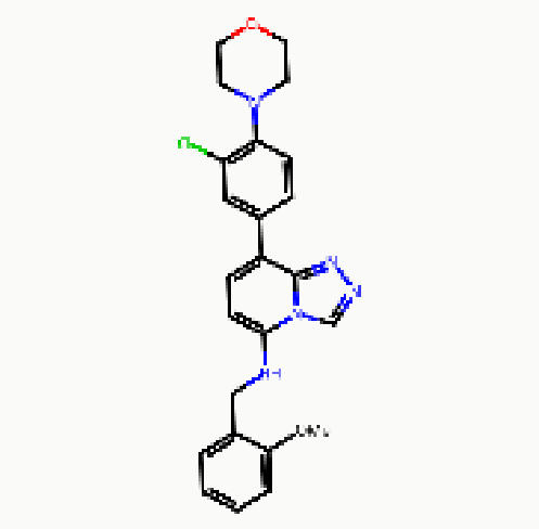 COc1ccccc1CNc1ccc(-c2ccc(N3CCOCC3)c(Cl)c2)c2nncn12